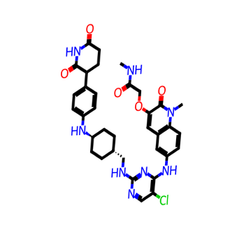 CNC(=O)COc1cc2cc(Nc3nc(NC[C@H]4CC[C@H](Nc5ccc(C6CCC(=O)NC6=O)cc5)CC4)ncc3Cl)ccc2n(C)c1=O